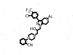 CC(=O)N1CCc2c(c(-c3ccc(C(F)(F)F)c(Cl)c3)nn2CC(O)CN2CCN(c3ccccc3C#N)CC2)C1